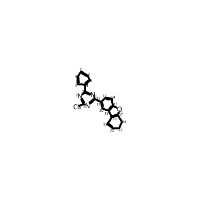 Clc1nc(-c2ccccc2)nc(-c2ccc3oc4c(c3c2)C=CCC4)n1